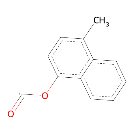 Cc1ccc(O[C]=O)c2ccccc12